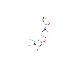 CC(C)(C)OC(=O)N1CCC(Oc2cc(F)c(Br)c(F)c2)CC1